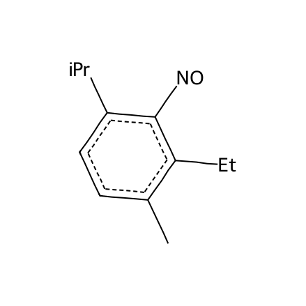 CCc1c(C)ccc(C(C)C)c1N=O